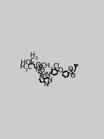 CC(C)(O)CCN(CCn1ccc2ncnc(Nc3ccc(Oc4cccc(S(=O)(=O)CC5CC5)c4)c(Cl)c3)c21)S(C)(=O)=O